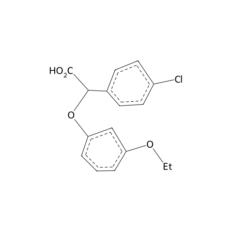 CCOc1cccc(OC(C(=O)O)c2ccc(Cl)cc2)c1